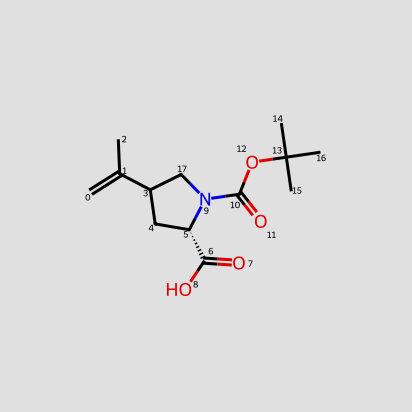 C=C(C)C1C[C@@H](C(=O)O)N(C(=O)OC(C)(C)C)C1